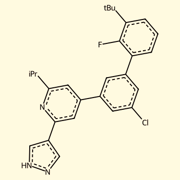 CC(C)c1cc(-c2cc(Cl)cc(-c3cccc(C(C)(C)C)c3F)c2)cc(-c2cn[nH]c2)n1